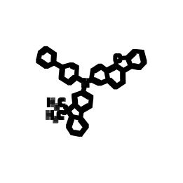 CC1(C)c2ccccc2-c2ccc(N(c3ccc(-c4ccccc4)cc3)c3ccc4c(ccc5c6ccccc6oc45)c3)cc21